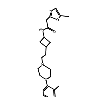 Cc1cnc(CC(=O)NC2CC(CCN3CCN(c4cccc(C)c4C)CC3)C2)o1